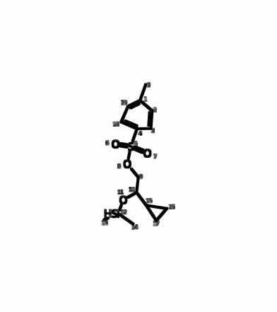 Cc1ccc(S(=O)(=O)OCC(O[SiH](C)C)C2CC2)cc1